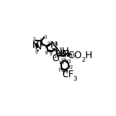 Cc1cnn(C)c1-c1ccc(NC(=O)C(NC(=O)O)[C@H]2CC[C@H](C(F)(F)F)CC2)nc1